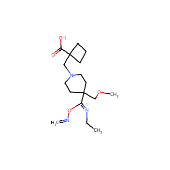 C=NO/C(=N\CC)C1(COC)CCN(CC2(C(=O)O)CCC2)CC1